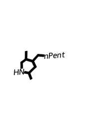 CCCCCCC1CC(C)NCC1C